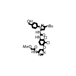 CCCCc1cc(NC(=O)Nc2ccc(Oc3cc(NC(=O)COC)ncn3)c(Cl)c2Cl)n(-c2ccc(CO)cc2)n1